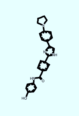 O=C(Nc1ccc(O)cc1)c1ccc(-c2nc(-c3ccc(N4CCCC4)cc3)c[nH]2)cc1